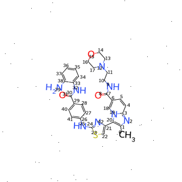 Cc1nc2ccc(C(=O)NCCN3CCOCC3)cn2c1-c1csc(Nc2ccc(C(=O)Nc3ccccc3N)cc2)n1